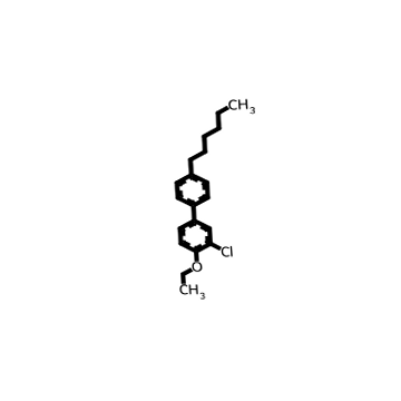 CCCCCCc1ccc(-c2ccc(OCC)c(Cl)c2)cc1